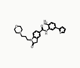 Nc1ccc(-c2cccs2)cc1NC(=O)c1ccc2c(c1)CC(=O)N2CCCN1CCOCC1